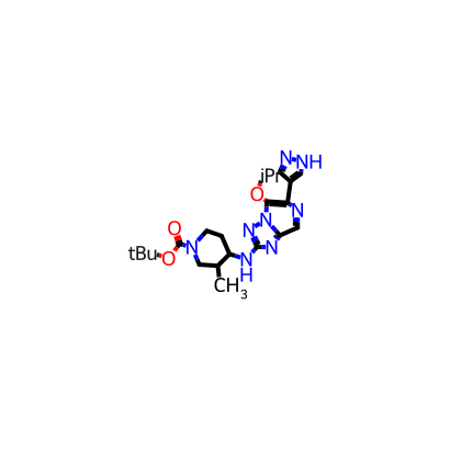 CC(C)Oc1c(-c2cn[nH]c2)ncc2nc(NC3CCN(C(=O)OC(C)(C)C)CC3C)nn12